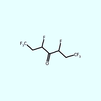 O=C(C(F)CC(F)(F)F)C(F)CC(F)(F)F